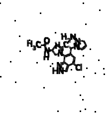 CC(=O)N[C@H]1CCN(c2c(C(C)N3C=CCN3N)cc(Cl)c3c[nH]nc23)C1